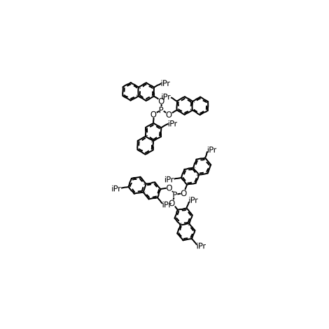 CC(C)c1cc2ccccc2cc1OP(Oc1cc2ccccc2cc1C(C)C)Oc1cc2ccccc2cc1C(C)C.CC(C)c1ccc2cc(OP(Oc3cc4ccc(C(C)C)cc4cc3C(C)C)Oc3cc4ccc(C(C)C)cc4cc3C(C)C)c(C(C)C)cc2c1